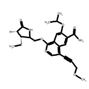 CC[C@H]1C(COc2ncc(C#CCOC)c3cc(C(N)=O)c(OC(C)C)cc23)NC(=O)[C@H]1F